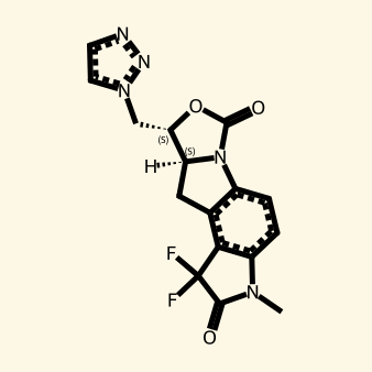 CN1C(=O)C(F)(F)c2c1ccc1c2C[C@H]2[C@H](Cn3ccnn3)OC(=O)N12